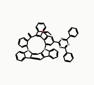 C=c1c2ccccc2n2c3ccccc3c3cc4c5ccccc5n(c4cc32)c2cc(-c3nc(-c4ccccc4)nc(-c4ccccc4)n3)cc3c4ccccc4c1c(/C=C\C)c32